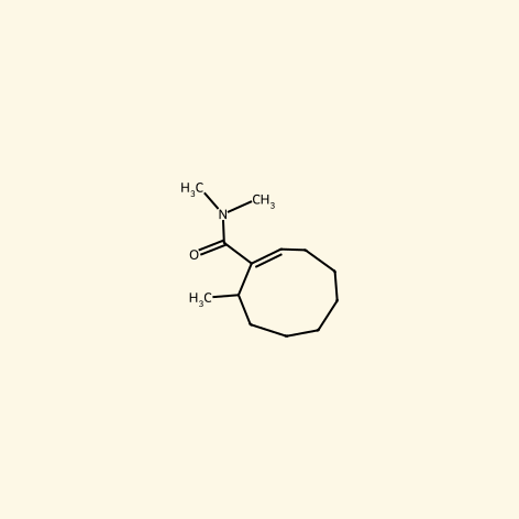 CC1CCCCCCC=C1C(=O)N(C)C